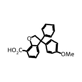 COc1ccc(C2(c3ccccc3)COc3c(C(=O)O)cccc32)cc1